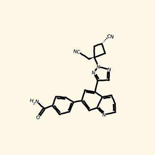 N#CC[C@]1(n2ncc(-c3cc(-c4ccc(C(N)=O)cc4)cc4ncccc34)n2)C[C@@H](C#N)C1